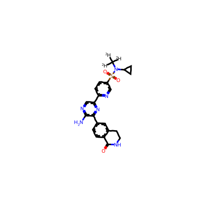 [2H]C([2H])([2H])N(C1CC1)S(=O)(=O)c1ccc(-c2cnc(N)c(-c3ccc4c(c3)CCNC4=O)n2)nc1